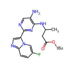 CC(CC(=O)OC(C)(C)C)Nc1nc(-c2cnc3ccc(F)cn23)ncc1N